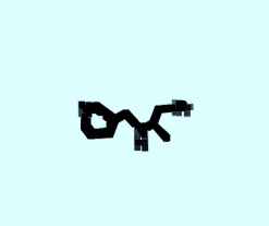 CC(C)C[C@@H](C)NCc1cccnc1